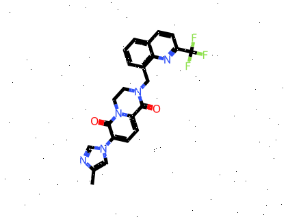 Cc1cn(-c2ccc3n(c2=O)CCN(Cc2cccc4ccc(C(F)(F)F)nc24)C3=O)cn1